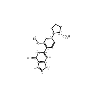 CCOc1cc(N2CCC[C@@H]2C(=O)O)ccc1-c1nc2[nH]nnc2c(=O)[nH]1